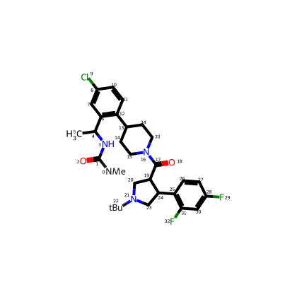 CNC(=O)NC(C)c1cc(Cl)ccc1C1CCN(C(=O)C2CN(C(C)(C)C)CC2c2ccc(F)cc2F)CC1